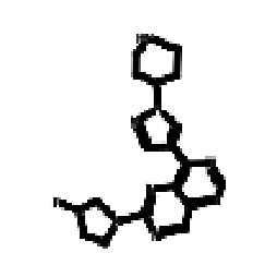 FC1CCN(c2ncc3ncnc(-c4cnn(C5CCNCC5)c4)c3n2)C1